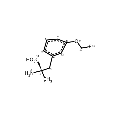 C[C@](N)(Cc1cccc(OCF)c1)C(=O)O